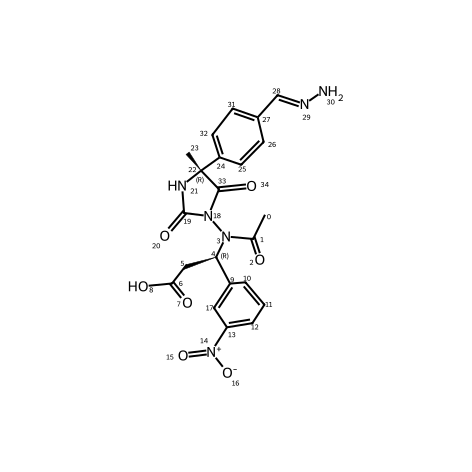 CC(=O)N([C@H](CC(=O)O)c1cccc([N+](=O)[O-])c1)N1C(=O)N[C@](C)(c2ccc(C=NN)cc2)C1=O